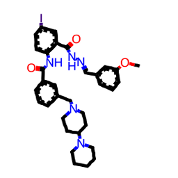 COc1cccc(C=NNC(=O)c2cc(I)ccc2NC(=O)c2cccc(CN3CCC(N4CCCCC4)CC3)c2)c1